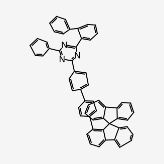 c1ccc(-c2nc(-c3ccc(-c4ccc(-c5cccc6c5C5(c7ccccc7-c7ccccc75)c5ccccc5-6)cc4)cc3)nc(-c3ccccc3-c3ccccc3)n2)cc1